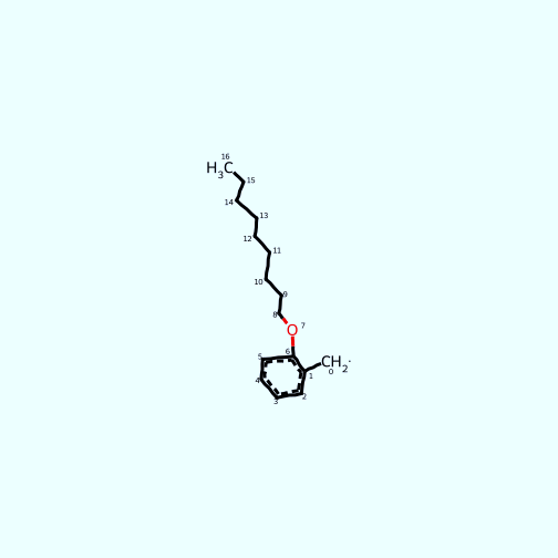 [CH2]c1ccccc1OCCCCCCCCC